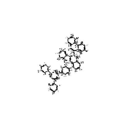 c1ccc(-c2nc(-c3ccccc3)nc(-c3ccc(-c4cccc5nc(-c6cc7ccccc7c7ccccc67)c6c7ccccc7oc6c45)cc3)n2)cc1